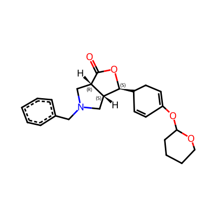 O=C1O[C@@H](C2C=CC(OC3CCCCO3)=CC2)[C@@H]2CN(Cc3ccccc3)C[C@H]12